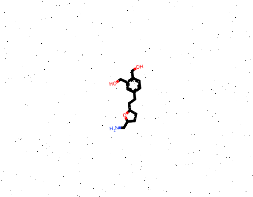 NCC1CCC(CCc2ccc(CO)c(CO)c2)O1